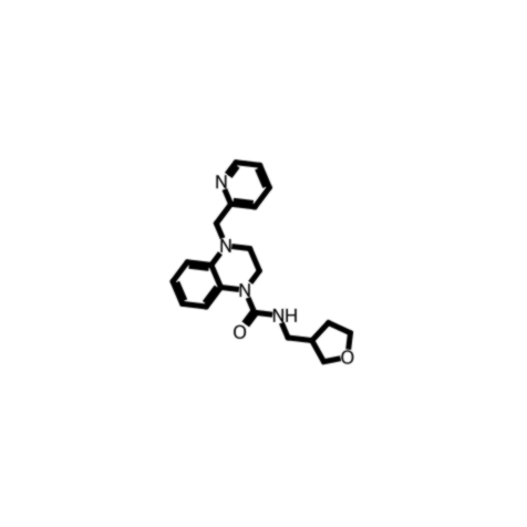 O=C(NCC1CCOC1)N1CCN(Cc2ccccn2)c2ccccc21